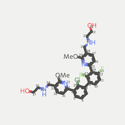 COc1nc(-c2cccc(-c3ccc(F)c(-c4ccc(CNCCO)c(OC)n4)c3F)c2Cl)ccc1CNCCO